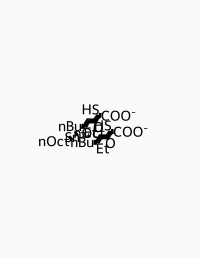 CCCCC(CC)CC(=O)C(S)C(=O)[O-].CCCCC(CC)CC(=O)C(S)C(=O)[O-].CCCCCCC[CH2][Sn+2][CH2]CCCCCCC